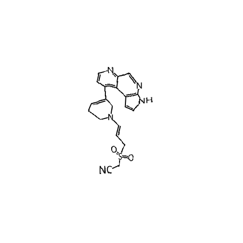 N#CCS(=O)(=O)CC=CN1CCC=C(c2ccnc3cnc4[nH]ccc4c23)C1